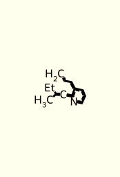 C=C/C=c1/cccnc1=C=C(C)CC